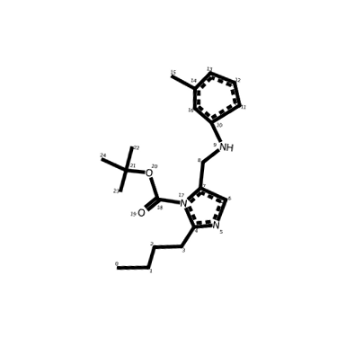 CCCCc1ncc(CNc2cccc(C)c2)n1C(=O)OC(C)(C)C